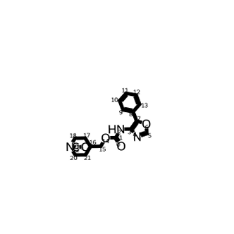 O=C(Nc1ncoc1-c1ccccc1)OCC12CCN(CC1)CC2